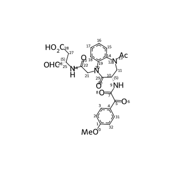 COc1ccc(C(=O)C(=O)N[C@H]2CN(C(C)=O)c3ccccc3N(CC(=O)N[C@H](C=O)CC(=O)O)C2=O)cc1